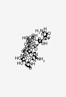 COC(=O)NC[C@H]1[C@@H](O)[C@H](n2c[n+](C)c3c(=O)[nH]c(N)nc32)O[C@@H]1COP(=O)(O)OP(=O)(O)OP(=O)(O)OC[C@H]1O[C@@H](n2cnc3c(N)ncnc32)[C@H](OC)[C@@H]1P(=O)([O-])OC[C@H]1O[C@@H](n2ccc(=O)[nH]c2=O)[C@H](O)[C@@H]1O